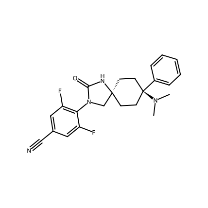 CN(C)[C@]1(c2ccccc2)CC[C@]2(CC1)CN(c1c(F)cc(C#N)cc1F)C(=O)N2